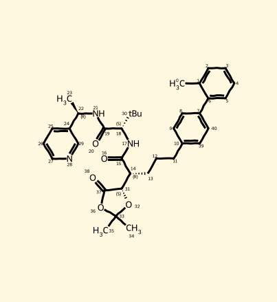 Cc1ccccc1-c1ccc(CCC[C@@H](C(=O)N[C@H](C(=O)N[C@H](C)c2cccnc2)C(C)(C)C)[C@@H]2OC(C)(C)OC2=O)cc1